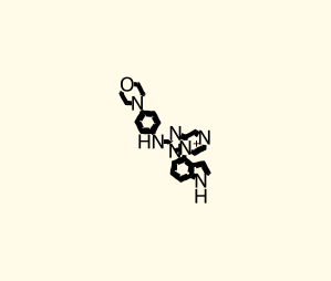 C1=C[N+]2(c3cccc4[nH]ccc34)N=C(Nc3ccc(N4CCOCC4)cc3)N=C2C=N1